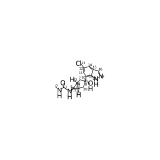 CNC(=O)N[C@H]1[C@@H]2C[C@@](O)(c3cc(Cl)cc4cn[nH]c34)C[C@@H]21